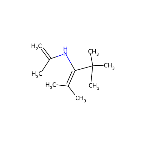 C=C(C)NC(=C(C)C)C(C)(C)C